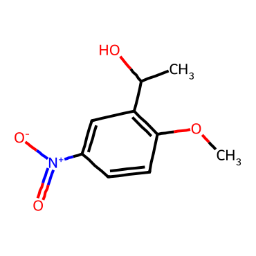 COc1ccc([N+](=O)[O-])cc1C(C)O